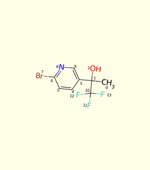 CC(O)(c1ccc(Br)nc1)C(F)(F)F